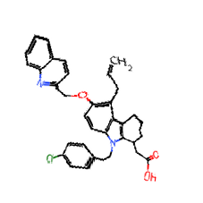 C=CCc1c(OCc2ccc3ccccc3n2)ccc2c1c1c(n2Cc2ccc(Cl)cc2)C(CC(=O)O)CCC1